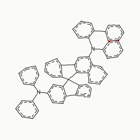 c1ccc(-c2ccccc2N(c2ccccc2)c2cc3c(c4ccccc24)C2(c4ccccc4-c4ccc(N(c5ccccc5)c5ccccc5)cc42)c2ccccc2-3)cc1